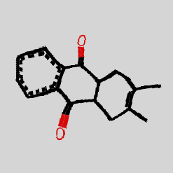 CC1=C(C)CC2C(=O)c3ccccc3C(=O)C2C1